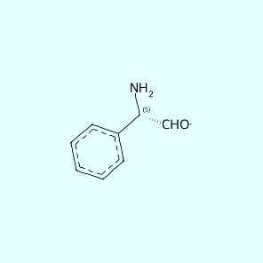 N[C@H]([C]=O)c1ccccc1